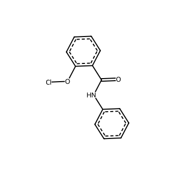 O=C(Nc1ccccc1)c1ccccc1OCl